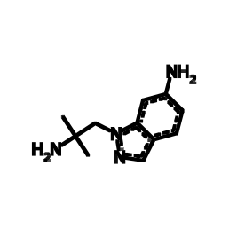 CC(C)(N)Cn1ncc2ccc(N)cc21